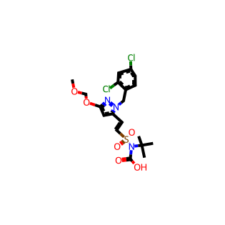 COCOc1cc(C=CS(=O)(=O)N(C(=O)O)C(C)(C)C)n(Cc2ccc(Cl)cc2Cl)n1